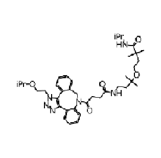 CC(C)NC(=O)C(C)(C)CCOC(C)(C)CCNC(=O)CCC(=O)N1Cc2ccccc2-c2c(nnn2CCOC(C)C)-c2ccccc21